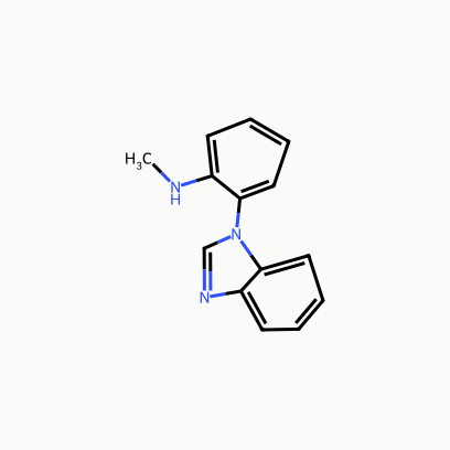 CNc1ccccc1-n1cnc2ccccc21